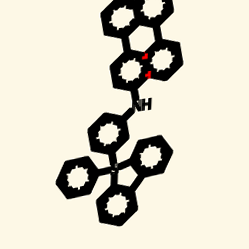 c1ccc(-c2cccc3cccc(-c4ccc(Nc5cccc(S6(c7ccccc7)c7ccccc7-c7ccccc76)c5)cc4)c23)cc1